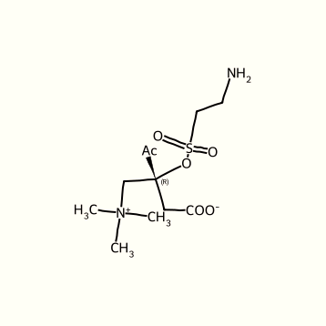 CC(=O)[C@@](CC(=O)[O-])(C[N+](C)(C)C)OS(=O)(=O)CCN